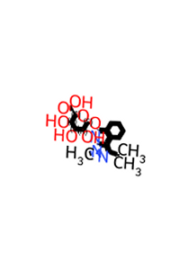 CC(C)c1nn(C)c2nc(O[C@@H]3O[C@H](C(=O)O)[C@@H](O)[C@H](O)[C@H]3O)c3c(c12)CCCC3